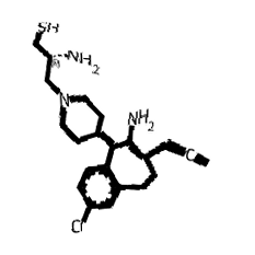 C=C=CC1=C(N)C(=C2CCN(C[C@@H](N)CS)CC2)c2ccc(Cl)cc2CC1